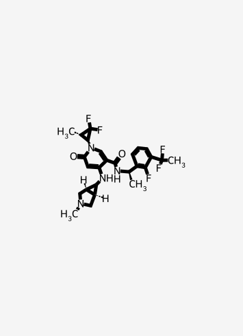 C[C@@H](NC(=O)c1cn([C@H]2[C@H](C)C2(F)F)c(=O)cc1NC1[C@H]2CN(C)C[C@@H]12)c1cccc(C(C)(F)F)c1F